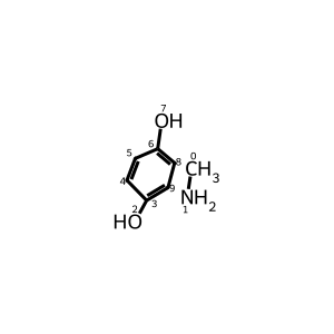 CN.Oc1ccc(O)cc1